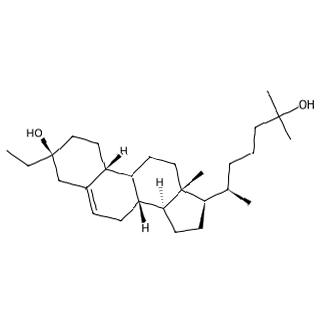 CC[C@]1(O)CC[C@H]2C(=CC[C@@H]3C2CC[C@]2(C)[C@@H]([C@H](C)CCCC(C)(C)O)CC[C@@H]32)C1